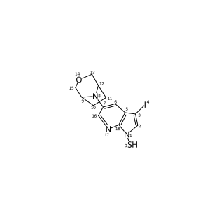 Sn1cc(I)c2cc(N3C4CCC3COC4)cnc21